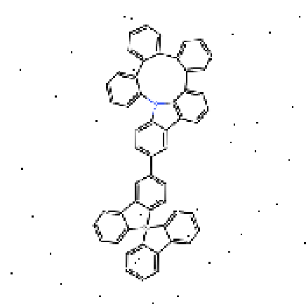 c1ccc2c(c1)-c1ccccc1[Si]21c2ccccc2-c2cc(-c3ccc4c(c3)c3cccc5c6ccccc6c6ccccc6c6ccccc6n4c53)ccc21